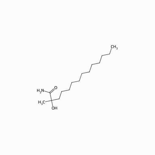 CCCCCCCCCCCCC(C)(O)C(N)=O